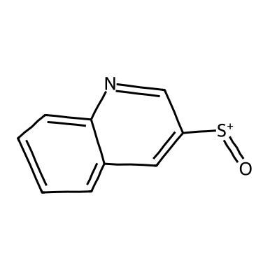 O=[S+]c1cnc2ccccc2c1